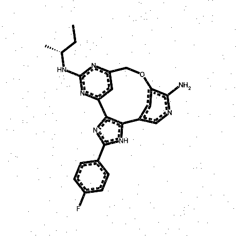 CC[C@@H](C)Nc1nc2cc(n1)-c1nc(-c3ccc(F)cc3)[nH]c1-c1cnc(N)c(c1)OC2